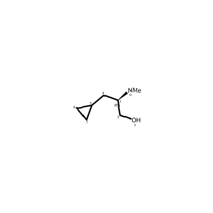 CN[C@@H](CO)CC1CC1